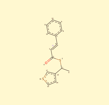 CC(SC(=O)/C=C/c1ccccc1)c1ccsc1